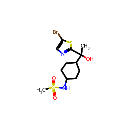 CC(O)(c1ncc(Br)s1)C1CCC(NS(C)(=O)=O)CC1